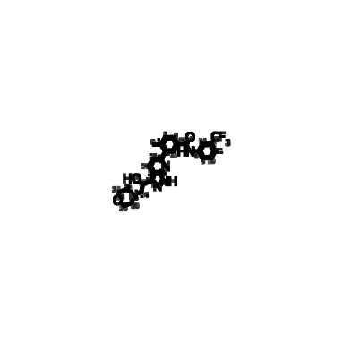 Cc1ccc(C(=O)Nc2cccc(C(F)(F)F)c2)cc1-c1ccc2c(C(O)CN3CCOCC3)n[nH]c2n1